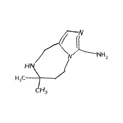 CC1(C)CCn2c(cnc2N)CN1